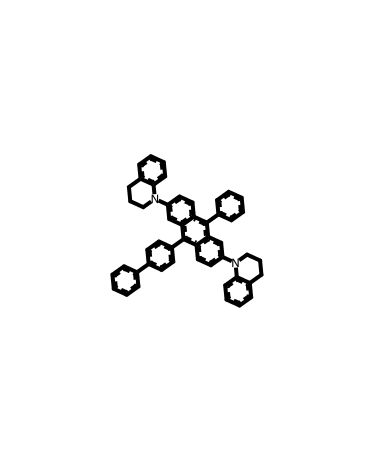 c1ccc(-c2ccc(-c3c4ccc(N5CCCc6ccccc65)cc4c(-c4ccccc4)c4ccc(N5CCCc6ccccc65)cc34)cc2)cc1